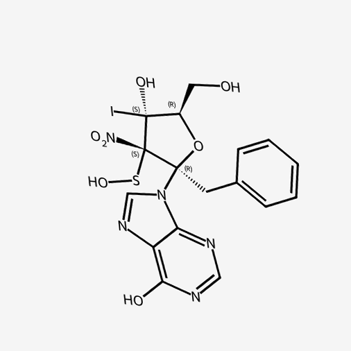 O=[N+]([O-])[C@@]1(SO)[C@@](O)(I)[C@@H](CO)O[C@@]1(Cc1ccccc1)n1cnc2c(O)ncnc21